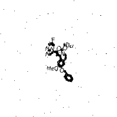 COc1cc2c(cc1OCc1ccccc1)CCN(C(=O)OC(C)(C)C)C2/C=C/c1cnc2ncc(F)cn12